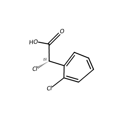 O=C(O)[C@@H](Cl)c1ccccc1Cl